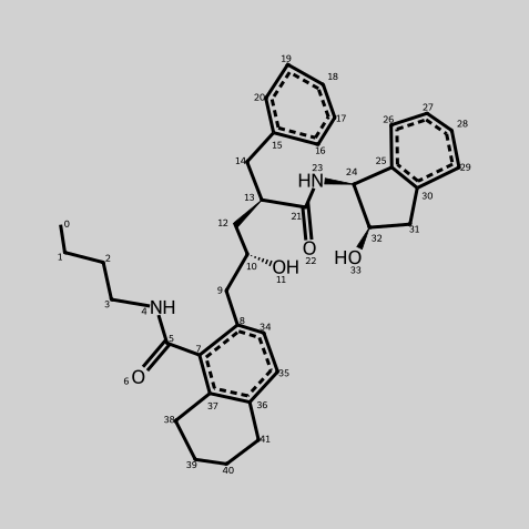 CCCCNC(=O)c1c(C[C@@H](O)C[C@@H](Cc2ccccc2)C(=O)N[C@H]2c3ccccc3C[C@H]2O)ccc2c1CCCC2